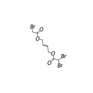 O=C(CBr)OCC=CCOC(=O)C(Br)Br